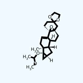 COC(C)O[C@@]12C[C@@H]1C[C@H]1[C@@H]3CC[C@@]45CC6(CC[C@@]4(O5)C3=CC[C@@]12C)OCCO6